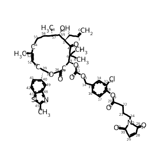 C=CC[C@H]1C(=O)C(C)(C)[C@@H](OC(=O)OCc2ccc(OC(=O)CCCN3C(=O)C=CC3=O)c(Cl)c2)CC(=O)O[C@H](c2ccc3sc(C)nc3c2)C/C=C(/C)CCC[C@H](C)[C@@H]1O